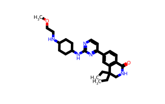 CCC1(CC)CNC(=O)c2ccc(-c3ccnc(NC4CCC(NCCOC)CC4)n3)cc21